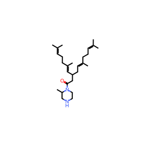 CC(C)=CCC/C(C)=C/CC(/C=C(\C)CCC=C(C)C)CC(=O)N1CCNCC1C